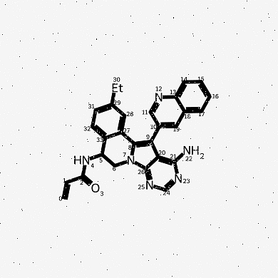 C=CC(=O)NC1Cn2c(c(-c3cnc4ccccc4c3)c3c(N)ncnc32)-c2cc(CC)ccc21